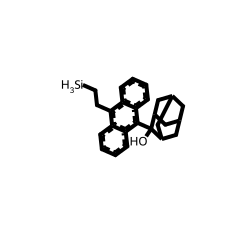 OC1(c2c3ccccc3c(CC[SiH3])c3ccccc23)C2CC3CC(C2)CC1C3